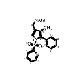 CNCc1cn(S(=O)(=O)c2ccccn2)c(-c2ccccc2)c1C